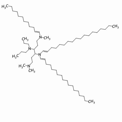 CCCCCCCCCCC=CN(C)CCC(C(CCN(C)C)N(C=CCCCCCCCCCCCCCCCC)C=CCCCCCCCCCCCCCCCC)N(CCC)CCC